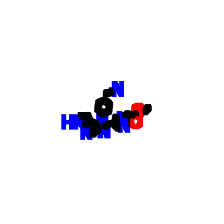 CCOC(=O)Cn1cc(-c2nc3cnc4[nH]ccc4c3n2[C@H]2CC[C@H](CC#N)CC2)cn1